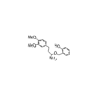 COc1ccc(CCC(N)OCc2ccccc2O)cc1OC